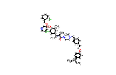 C/C(C(=O)N1CCN(Cc2ccc(CCOc3ccc(C(C)C)cc3)cc2)CC1)=C(/C)c1cc(C)c(OC2(OCc3ccccc3Cl)C=CCN=C2)c(Cl)c1